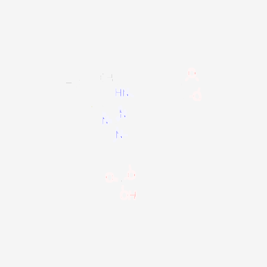 Cc1sc2nc(N3CCC(OC(=O)O)CC3)nc(NCCc3ccc4c(c3)OCO4)c2c1C